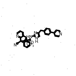 CC1(C(=O)Nc2nc(Cc3ccc(-c4ccncc4)cc3)c[nH]2)CC2(C#N)c3ccccc3C1c1cccnc12